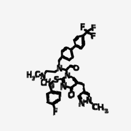 CN(C)CCN(Cc1ccc(-c2ccc(C(F)(F)F)cc2)cc1)C(C=O)n1cc(Cc2cnn(C)c2)c(=O)nc1SCc1ccc(F)cc1